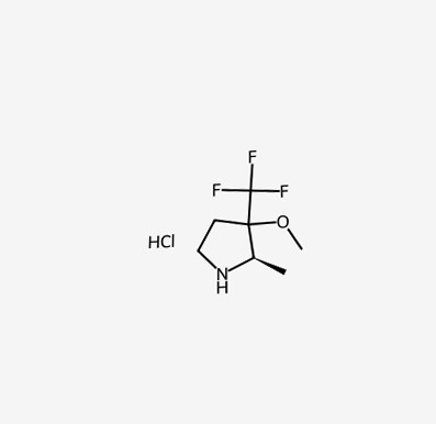 COC1(C(F)(F)F)CCN[C@@H]1C.Cl